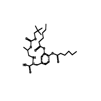 CCCCCC(=O)Oc1ccc(C[C@H](NCC(C)OC(=O)OCC(C)(C)C)C(=O)O)cc1OC(=O)CCCCC